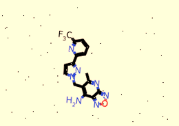 Cc1nc2nonc2c(N)c1Cn1ccc(-c2cccc(C(F)(F)F)n2)n1